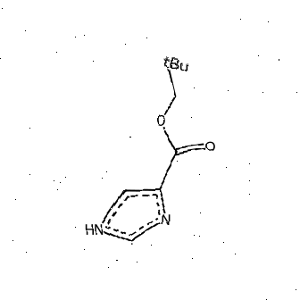 CC(C)(C)COC(=O)c1c[nH][c]n1